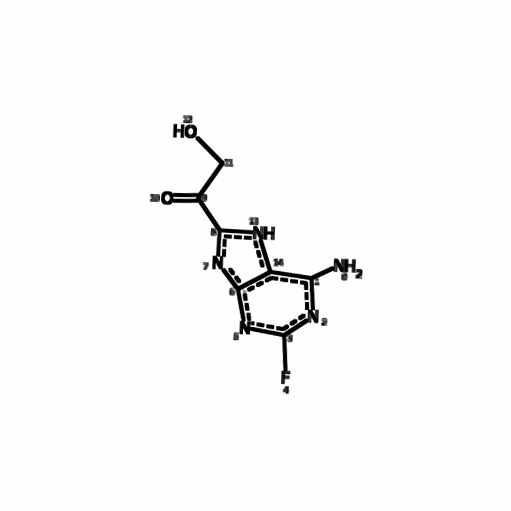 Nc1nc(F)nc2nc(C(=O)CO)[nH]c12